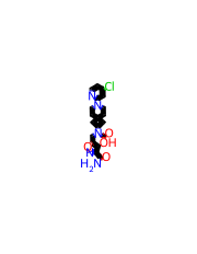 NC(=O)c1cc(CN(C(=O)O)C2CC3(CCN(c4cc(Cl)ccn4)CC3)C2)on1